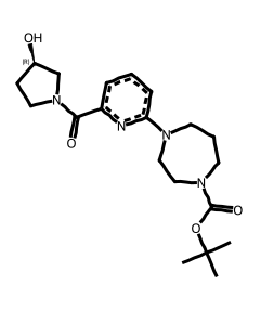 CC(C)(C)OC(=O)N1CCCN(c2cccc(C(=O)N3CC[C@@H](O)C3)n2)CC1